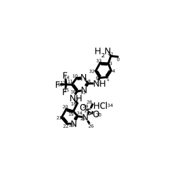 CC(N)c1ccc(Nc2ncc(C(F)(F)F)c(NCc3cccnc3N(C)S(C)(=O)=O)n2)cc1.Cl